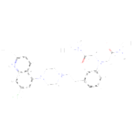 Cc1ccc2c(N3CCN(CCc4cccc(N(CC(=O)N(C)C)CC(=O)N(C)C)c4)CC3)cc(Cl)cc2n1